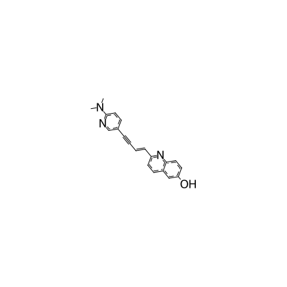 CN(C)c1ccc(C#C/C=C/c2ccc3cc(O)ccc3n2)cn1